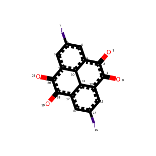 O=c1c(=O)c2cc(I)cc3c2-c2c1cc(I)cc2c(=O)c3=O